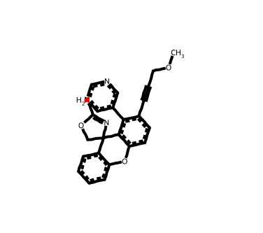 COCC#Cc1ccc2c(c1-c1cncnc1)C1(COC(N)=N1)c1ccccc1O2